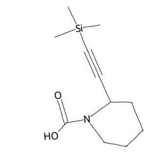 C[Si](C)(C)C#CC1CCCCN1C(=O)O